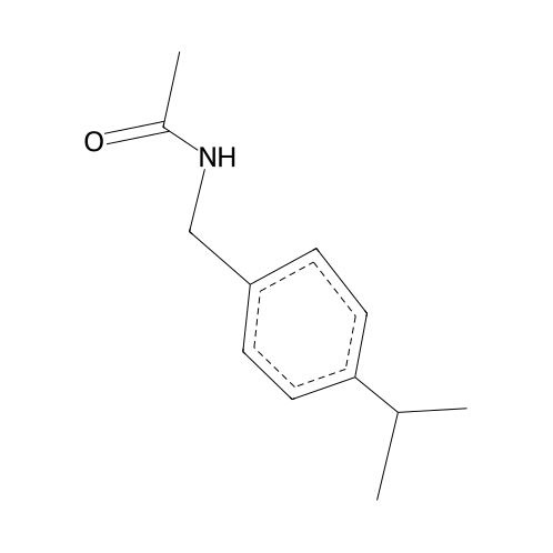 CC(=O)NCc1ccc(C(C)C)cc1